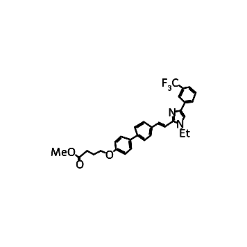 CCn1cc(-c2cccc(C(F)(F)F)c2)nc1C=Cc1ccc(-c2ccc(OCCCC(=O)OC)cc2)cc1